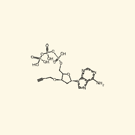 C#CCO[C@@H]1C[C@H](n2cnc3c(N)ncnc32)OC1COP(=O)(O)OP(=O)(O)OP(=O)(O)O